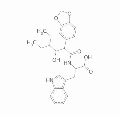 CCC(CC)C(O)C(C(=O)N[C@@H](Cc1c[nH]c2ccccc12)C(=O)O)c1ccc2c(c1)OCO2